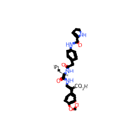 CC(C)C[C@H](NC(=O)Cc1ccc(NC(=O)c2ccc[nH]2)cc1)C(=O)NCC(C(=O)O)c1ccc2c(c1)OCO2